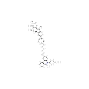 CC/C(=C(\c1ccc(O)cc1)c1ccc(OCCCCCN2CCCN(c3ccc4c(c3)C(=O)N(C3CCC(=O)NC3O)C4=O)CC2)cc1)c1ccccc1